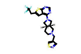 FC(F)(F)Cc1cc2c(N3C[C@H]4CCN(Cc5cnsc5)C[C@H]4C3)ncnc2s1